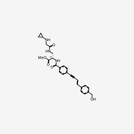 COC(=O)[C@H](CNC(=O)CNC1CC1)NC(=O)c1ccc(C#CC=Cc2ccc(CO)cc2)cc1